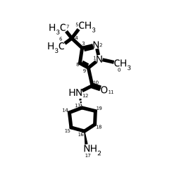 Cn1nc(C(C)(C)C)cc1C(=O)N[C@H]1CC[C@H](N)CC1